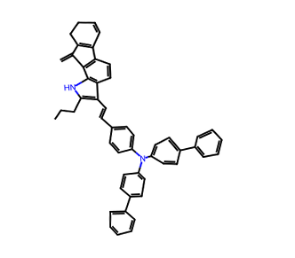 C=C1C2=C(C=CCC2)c2ccc3c(C=Cc4ccc(N(c5ccc(-c6ccccc6)cc5)c5ccc(-c6ccccc6)cc5)cc4)c(CCC)[nH]c3c21